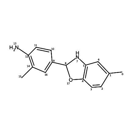 Cc1ccc2c(c1)NC(c1ccc(N)c(C)c1)O2